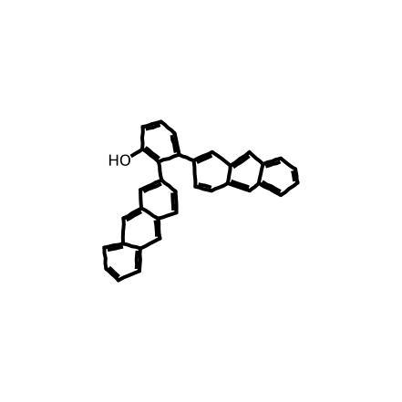 Oc1cccc(-c2ccc3cc4ccccc4cc3c2)c1-c1ccc2cc3ccccc3cc2c1